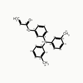 C=CC(=O)Oc1cccc(N(c2cccc(C)c2)c2cccc(C)c2)c1